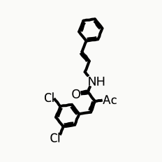 CC(=O)/C(=C/c1cc(Cl)cc(Cl)c1)C(=O)NC/C=C/c1ccccc1